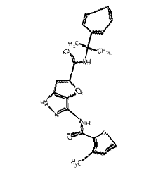 Cc1ccsc1C(=O)Nc1n[nH]c2cc(C(=O)NC(C)(C)c3ccccc3)oc12